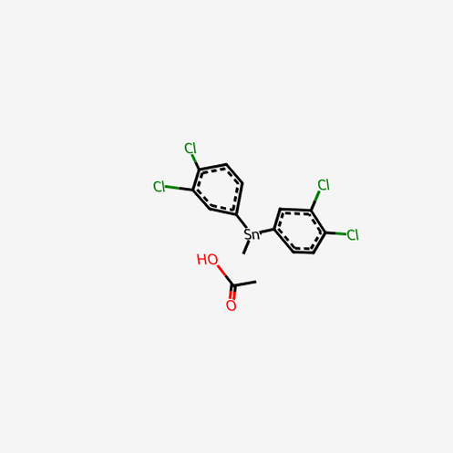 CC(=O)O.[CH3][Sn]([c]1ccc(Cl)c(Cl)c1)[c]1ccc(Cl)c(Cl)c1